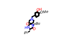 CCCCN1C(=O)[C@H](CC(C)C)NC(=O)C12CCN(Cc1ccc(OC)c(O)c1)CC2